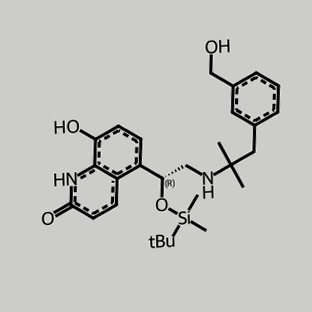 CC(C)(Cc1cccc(CO)c1)NC[C@H](O[Si](C)(C)C(C)(C)C)c1ccc(O)c2[nH]c(=O)ccc12